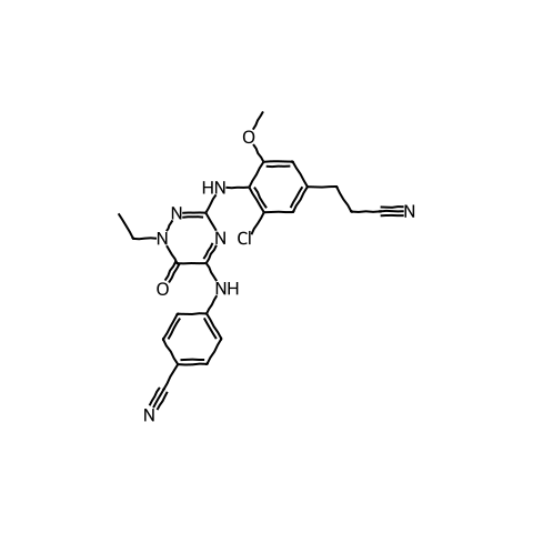 CCn1nc(Nc2c(Cl)cc(CCC#N)cc2OC)nc(Nc2ccc(C#N)cc2)c1=O